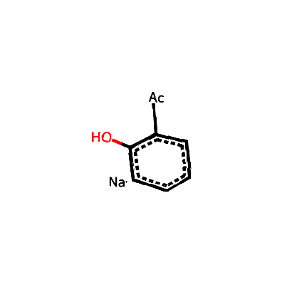 CC(=O)c1ccccc1O.[Na]